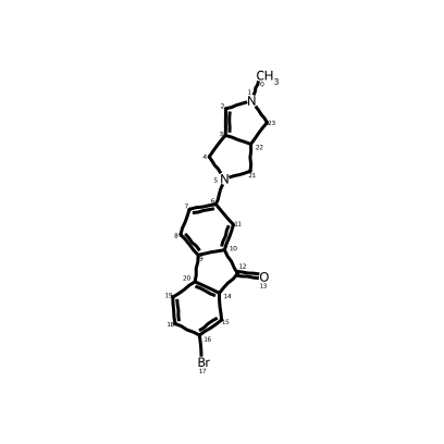 CN1C=C2CN(c3ccc4c(c3)C(=O)c3cc(Br)ccc3-4)CC2C1